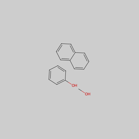 CO.Oc1ccccc1.c1ccc2ccccc2c1